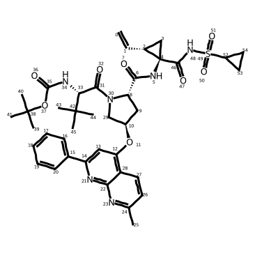 C=C[C@@H]1C[C@]1(NC(=O)[C@@H]1C[C@@H](Oc2cc(-c3ccccc3)nc3nc(C)ccc23)CN1C(=O)[C@@H](NC(=O)OC(C)(C)C)C(C)(C)C)C(=O)NS(=O)(=O)C1CC1